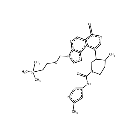 Cc1cc(NC(=O)N2CCC(C)C(n3ccc(=O)c4cnc5c(ccn5COCC[Si](C)(C)C)c43)C2)sn1